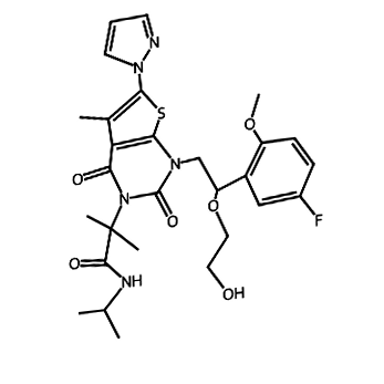 COc1ccc(F)cc1C(Cn1c(=O)n(C(C)(C)C(=O)NC(C)C)c(=O)c2c(C)c(-n3cccn3)sc21)OCCO